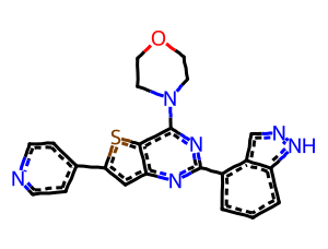 c1cc(-c2nc(N3CCOCC3)c3sc(-c4ccncc4)cc3n2)c2cn[nH]c2c1